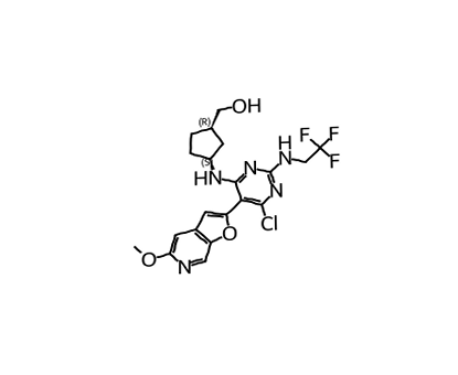 COc1cc2cc(-c3c(Cl)nc(NCC(F)(F)F)nc3N[C@H]3CC[C@@H](CO)C3)oc2cn1